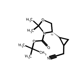 CC(C)(C)OC(=O)N1[C@@H](C2CC2CC#N)COC1(C)C